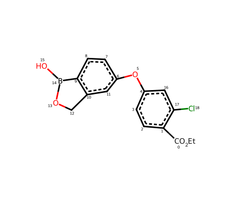 CCOC(=O)c1ccc(Oc2ccc3c(c2)COB3O)cc1Cl